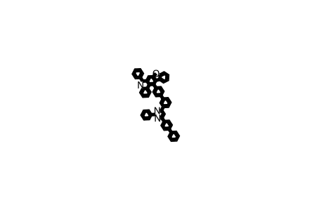 c1ccc(-c2ccc(-c3cc(-c4cccc(-c5ccc(-c6c7c(cc8c(-c9ccccc9)nc9ccccc9c68)oc6ccccc67)cc5)c4)nc(-c4ccccc4)n3)cc2)cc1